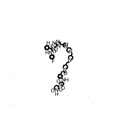 Nc1ncc(-c2cnn(C3CCN(CC4CCN(CCC5CCN(C(=O)Cc6cccc(NC7=CC(=O)N(C8CCC(=O)NC8=O)C7=O)c6)CC5)CC4)CC3)c2)nc1C(=O)O[C@@H](C(=O)Nc1ccc(F)cc1)c1ccccc1